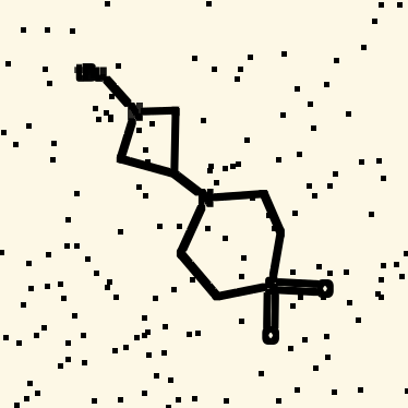 CC(C)(C)N1CC(N2CCS(=O)(=O)CC2)C1